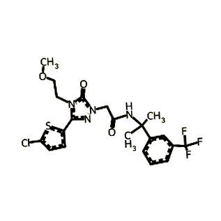 COCCn1c(-c2ccc(Cl)s2)nn(CC(=O)NC(C)(C)c2cccc(C(F)(F)F)c2)c1=O